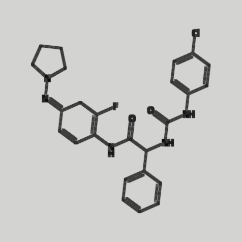 O=C(Nc1ccc(Cl)cc1)NC(C(=O)NC1=C(F)CC(=NN2CCCC2)C=C1)c1ccccc1